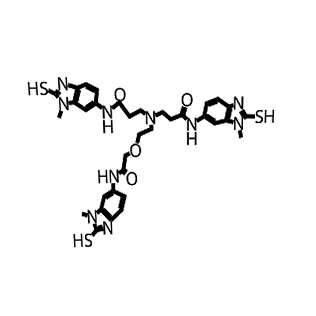 Cn1c(S)nc2ccc(NC(=O)CCN(CCOCC(=O)Nc3ccc4nc(S)n(C)c4c3)CCC(=O)Nc3ccc4nc(S)n(C)c4c3)cc21